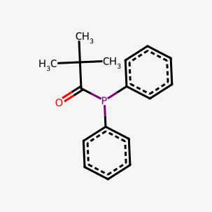 CC(C)(C)C(=O)P(c1ccccc1)c1ccccc1